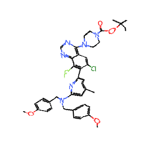 COc1ccc(CN(Cc2ccc(OC)cc2)c2cc(C)cc(-c3c(Cl)cc4c(N5CCN(C(=O)OC(C)(C)C)CC5)ncnc4c3F)n2)cc1